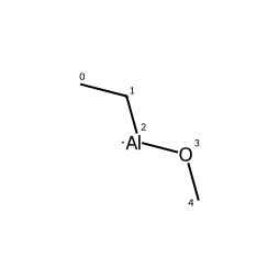 C[CH2][Al][O]C